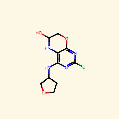 OC1COc2nc(Cl)nc(NC3CCOC3)c2N1